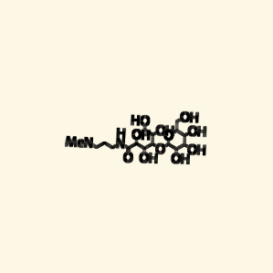 CNCCCNC(=O)C(O)C(O)C(OC1OC(CO)C(O)C(O)C1O)C(O)CO